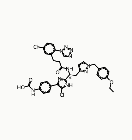 O=C(O)Nc1ccc(-c2nc([C@H](Cc3ccn(Cc4ccc(OCI)cc4)n3)NC(=O)CCc3cc(Cl)ccc3-n3cnnn3)[nH]c2Cl)cc1